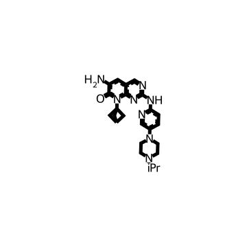 CC(C)N1CCN(c2ccc(Nc3ncc4cc(N)c(=O)n(C56CC(C5)C6)c4n3)nc2)CC1